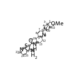 COC[C@]1(C)CN(c2ccc3c(n2)CC[C@H](NC(=O)c2sc4nc(C)ccc4c2N)C3)C[C@H]1C